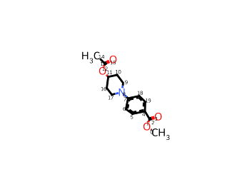 COC(=O)c1ccc(N2CCC(OC(C)=O)CC2)cc1